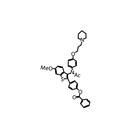 COc1ccc2c(N(C(C)=O)c3ccc(OCCCN4CCCCC4)cc3)c(-c3ccc(OC(=O)c4ccccc4)cc3)sc2c1